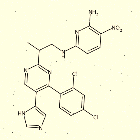 C[C](CNc1ccc([N+](=O)[O-])c(N)n1)c1ncc(-c2cnc[nH]2)c(-c2ccc(Cl)cc2Cl)n1